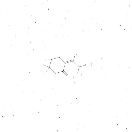 C=C1CC(C)(F)CC/C1=C(\C)C(C)C